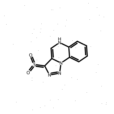 O=S(=O)=c1nnn2c3ccccc3[nH]cc1-2